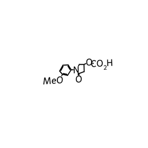 COc1cccc(N2CC(OC(=O)O)CC2=O)c1